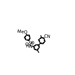 COc1ccc(S(=O)(=O)Nc2cc(C)cc(-c3ccc(C#N)c(C)c3)c2)cc1